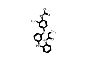 C=CC(=O)Nc1ccccc1Nc1cc(Oc2ccc(NC(C)=O)c(C)c2)ccn1